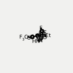 CCC(=O)OC(CN/C=N\N=N)(c1ccc(F)cc1F)C(F)(F)c1ccc(-c2ccc(OCC(F)(F)F)cc2)cn1